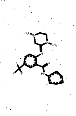 CN1CCN(C)/C(=N/c2ccc(C(F)(F)F)cc2C(=O)Nc2ccccc2)C1